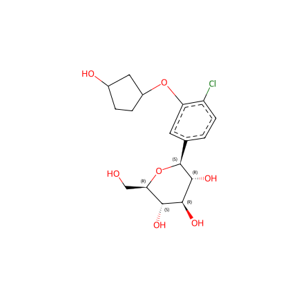 OC[C@H]1O[C@@H](c2ccc(Cl)c(OC3CCC(O)C3)c2)[C@H](O)[C@@H](O)[C@@H]1O